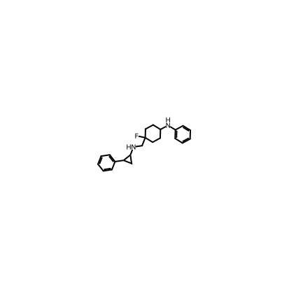 FC1(CNC2CC2c2ccccc2)CCC(Nc2ccccc2)CC1